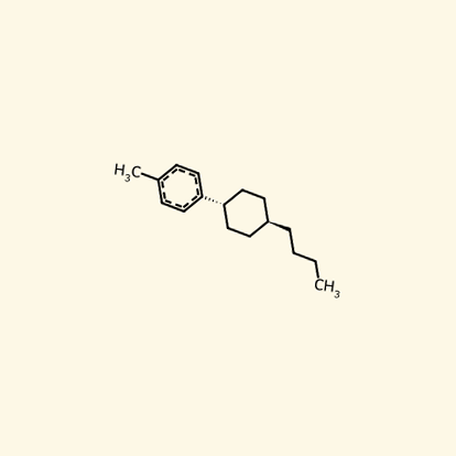 CCCC[C@H]1CC[C@H](c2ccc(C)cc2)CC1